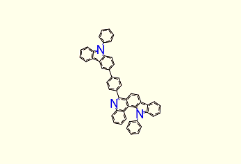 c1ccc(-n2c3ccccc3c3cc(-c4ccc(-c5nc6ccccc6c6c5ccc5c7ccccc7n(-c7ccccc7)c56)cc4)ccc32)cc1